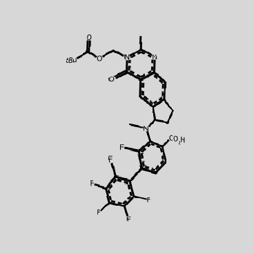 Cc1nc2cc3c(cc2c(=O)n1COC(=O)C(C)(C)C)C(N(C)c1c(C(=O)O)ccc(-c2c(F)c(F)c(F)c(F)c2F)c1F)CC3